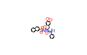 CCN(C(=O)C(Cc1ccc2c(c1)OCO2)C(=O)NS(=O)(=O)c1ccc2ccccc2c1)c1ccccc1